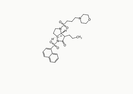 CCCC1C(=O)N(S(=O)(=O)c2cccc3ccccc23)[C@H]2CCN(S(=O)(=O)CCCN3CCOCC3)[C@H]12